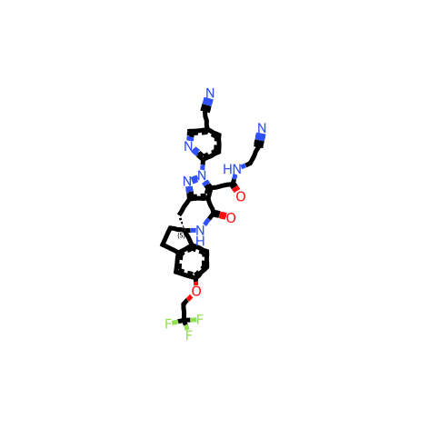 N#CCNC(=O)c1c2c(nn1-c1ccc(C#N)cn1)C[C@]1(CCc3cc(OCC(F)(F)F)ccc31)NC2=O